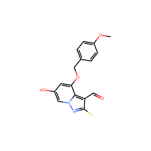 COc1ccc(COc2cc(O)cn3nc(F)c(C=O)c23)cc1